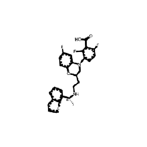 C[C@@H](NCCC1CN(c2ccc(F)c(C(=O)O)c2F)c2cc(F)ccc2O1)c1cccc2ccccc12